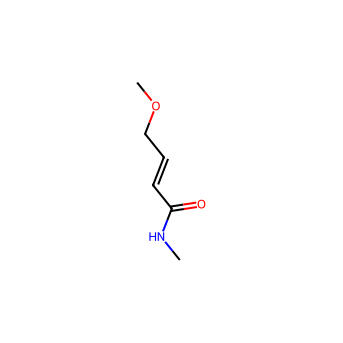 CNC(=O)/C=C/COC